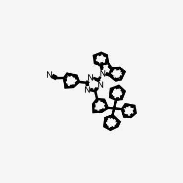 N#Cc1ccc(-c2nc(-c3cccc(C(c4ccccc4)(c4ccccc4)c4ccccc4)c3)nc(-n3c4ccccc4c4ccccc43)n2)cc1